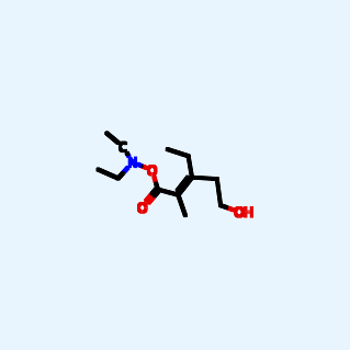 CCC(CCO)=C(C)C(=O)ON(CC)CC